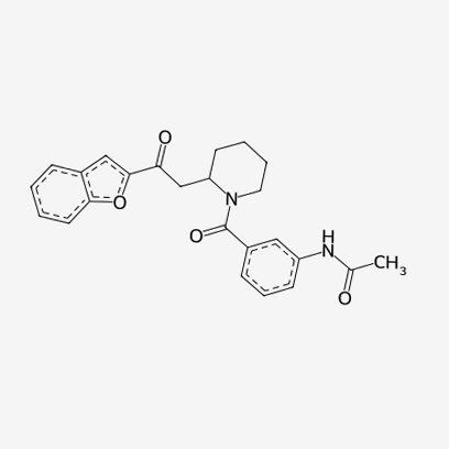 CC(=O)Nc1cccc(C(=O)N2CCCCC2CC(=O)c2cc3ccccc3o2)c1